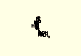 CNC(O)c1cn(CCCCc2ccc(NC(=O)Cc3cc(-c4ccccc4OC(F)(F)F)ccn3)nn2)nn1